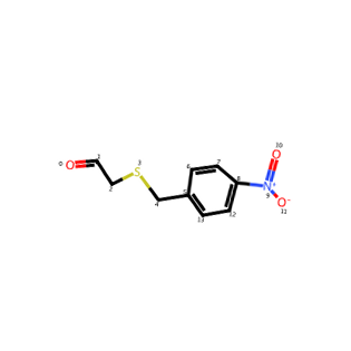 O=[C]CSCc1ccc([N+](=O)[O-])cc1